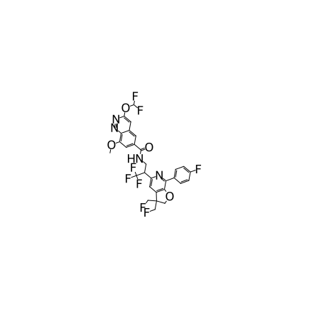 COc1cc(C(=O)NCC(c2cc3c(c(-c4ccc(F)cc4)n2)OCC3(CF)CF)C(F)(F)F)cc2cc(OC(F)F)nnc12